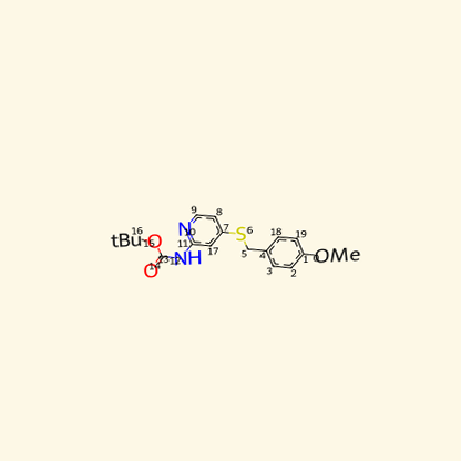 COc1ccc(CSc2ccnc(NC(=O)OC(C)(C)C)c2)cc1